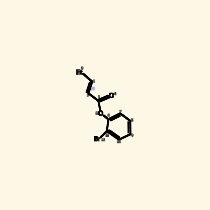 CC/C=C/C(=O)Oc1ccccc1Br